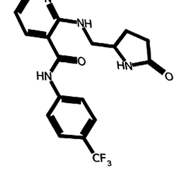 O=C1CCC(CNc2ncccc2C(=O)Nc2ccc(C(F)(F)F)cc2)N1